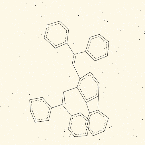 C(=C(c1ccccc1)c1ccccc1)c1ccc2c(c1C=C(c1ccccc1)c1ccccc1)-c1ccccc1-2